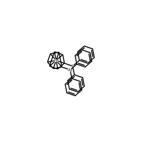 c1ccc(P(c2ccccc2)[C]23[CH]4[CH]5[CH]6[CH]2[Fe]56432789[CH]3[CH]2[CH]7[C]8([As](c2ccccc2)c2ccccc2)[CH]39)cc1